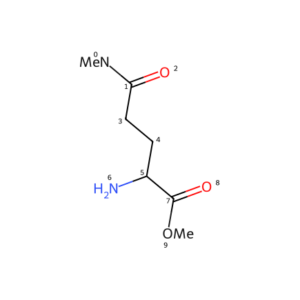 CNC(=O)CCC(N)C(=O)OC